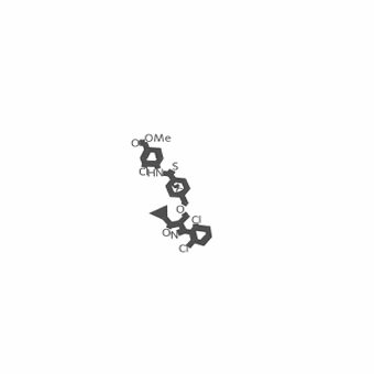 COC(=O)c1ccc(NC(=S)C23CCC(COCc4c(-c5c(Cl)cccc5Cl)noc4C4CC4)(CC2)CC3)c(Cl)c1